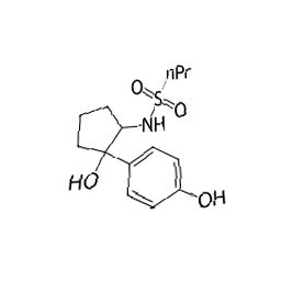 CCCS(=O)(=O)NC1CCCC1(O)c1ccc(O)cc1